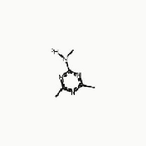 [3H]N(C)c1nc(C)nc(C)n1